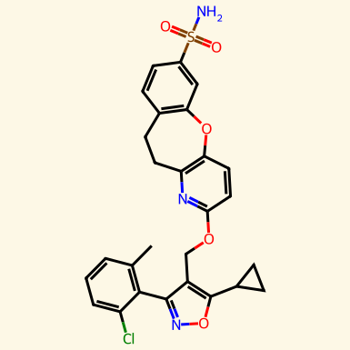 Cc1cccc(Cl)c1-c1noc(C2CC2)c1COc1ccc2c(n1)CCc1ccc(S(N)(=O)=O)cc1O2